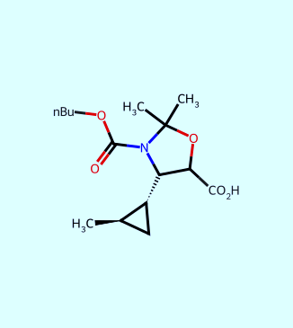 CCCCOC(=O)N1C([C@@H]2C[C@H]2C)C(C(=O)O)OC1(C)C